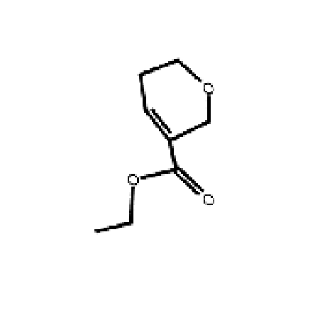 CCOC(=O)C1=CCCOC1